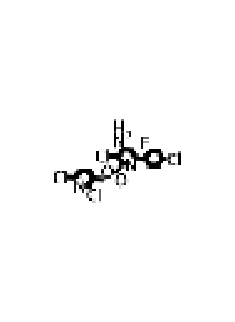 Nc1cc(-c2ccc(Cl)cc2F)nc(C(=O)OCc2ccc(Cl)nc2Cl)c1Cl